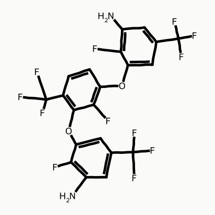 Nc1cc(C(F)(F)F)cc(Oc2ccc(C(F)(F)F)c(Oc3cc(C(F)(F)F)cc(N)c3F)c2F)c1F